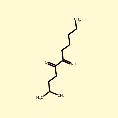 [CH2]CCCCC(=N)C(=O)CCC(C)C